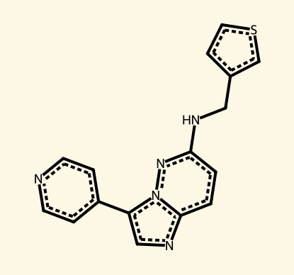 c1cc(-c2cnc3ccc(NCc4ccsc4)nn23)ccn1